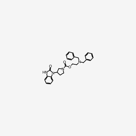 O=C(OCCN(Cc1ccccc1)Cc1ccccc1)N1CCC(n2c(=O)[nH]c3ccccc32)C1